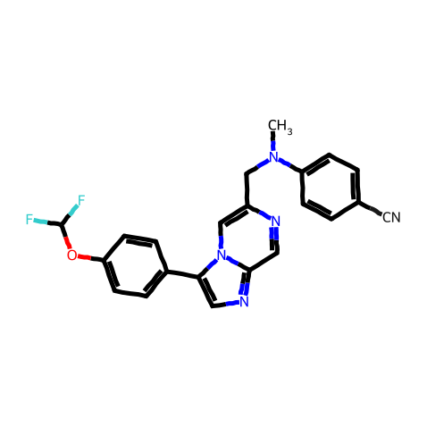 CN(Cc1cn2c(-c3ccc(OC(F)F)cc3)cnc2cn1)c1ccc(C#N)cc1